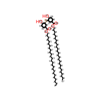 CCCCCCCCCCCCCCCCCCCCCCCCCCOC(=O)c1ccc(O)c(Sc2cc(C(=O)OCCCCCCCCCCCCCCCCCCCCCCCCCC)ccc2O)c1